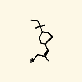 CCC(C)(C)C1CCC(C=C(C)CBr)CC1